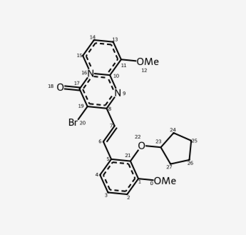 COc1cccc(C=Cc2nc3c(OC)cccn3c(=O)c2Br)c1OC1CCCC1